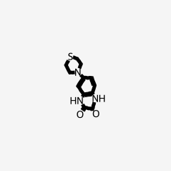 O=c1[nH]c2ccc(N3CCSCC3)cc2[nH]c1=O